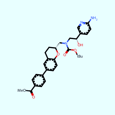 COC(=O)c1ccc(-c2ccc3c(c2)CC[C@H](CN(C[C@@H](O)c2ccc(N)nc2)C(=O)OC(C)(C)C)O3)cc1